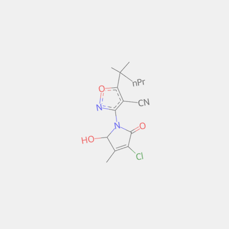 CCCC(C)(C)c1onc(N2C(=O)C(Cl)=C(C)C2O)c1C#N